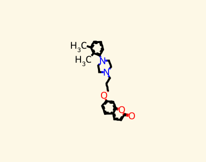 Cc1cccc(N2CCN(CCCOc3ccc4ccc(=O)oc4c3)CC2)c1C